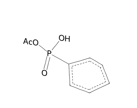 CC(=O)OP(=O)(O)c1ccccc1